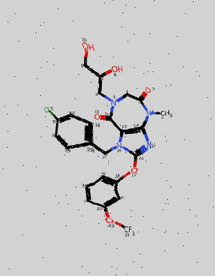 CN1C(=O)CN(CC(O)CO)C(=O)c2c1nc(Oc1cccc(OC(F)(F)F)c1)n2Cc1ccc(Cl)cc1